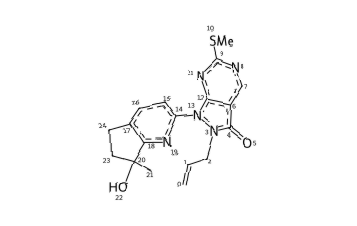 C=CCn1c(=O)c2cnc(SC)nc2n1-c1ccc2c(n1)C(C)(O)CC2